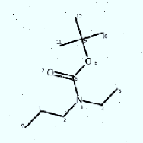 [CH2]CCN(CC)C(=O)OC(C)(C)C